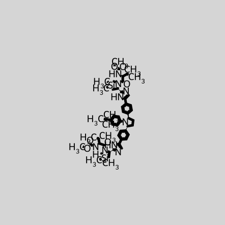 COC(=O)N[C@H](C(=O)N1C[Si](C)(C)C[C@H]1c1ncc(-c2ccc([C@H]3CC[C@H](c4ccc(-c5cnc([C@@H]6C[Si](C)(C)CN6C(=O)[C@@H](NC(=O)OC)C(C)C)[nH]5)cc4)N3c3ccc(C(C)(C)C)cc3)cc2)[nH]1)C(C)C